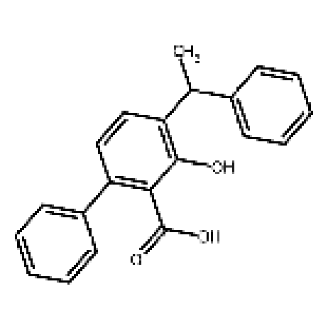 CC(c1ccccc1)c1ccc(-c2ccccc2)c(C(=O)O)c1O